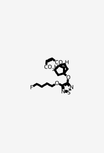 FCCCCOc1nsnc1OC12CCC(CC1)C2.O=C(O)/C=C\C(=O)O